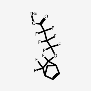 CC(C)(C)OC(=O)C(F)(F)C(F)(F)C(F)(F)OC1(F)C2C=CC(C2)C1(F)F